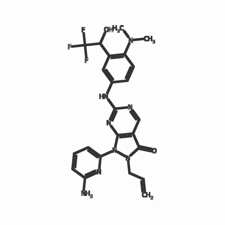 C=CCn1c(=O)c2cnc(Nc3ccc(N(C)C)c(C(O)C(F)(F)F)c3)nc2n1-c1cccc(N)n1